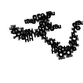 Cc1c(C)c(S(=O)(=O)NC(=N)NCCC[C@H](NC(=O)CCCN2CCc3c(nc(C(=O)Nc4cccc(-c5cccc(NC(=O)c6nc7c(n6C)CCN(CCCC(=O)OC(C)(C)C)C7)c5Cl)c4Cl)n3C)C2)C(=O)N[C@@H](CC(=O)OC(C)(C)C)C(=O)N[C@@H](CC(=O)OC(C)(C)C)C(=O)N[C@@H](CC(=O)OC(C)(C)C)C(=O)O)c(C)c2c1OC(C)(C)C2